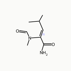 CC(C)/C=C(/C(N)=O)N(C)C=O